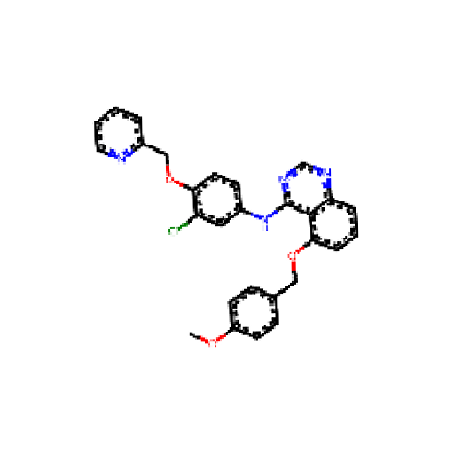 COc1ccc(COc2cccc3ncnc(Nc4ccc(OCc5ccccn5)c(Cl)c4)c23)cc1